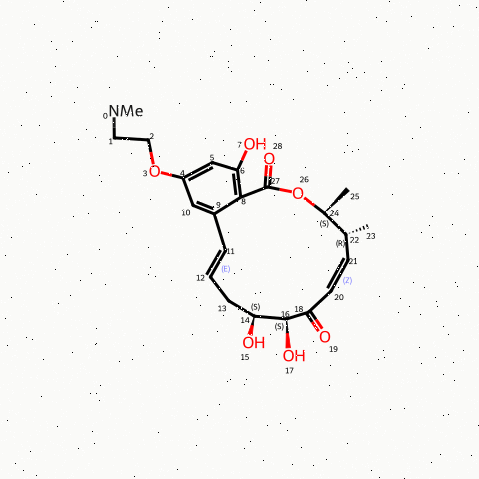 CNCCOc1cc(O)c2c(c1)/C=C/C[C@H](O)[C@H](O)C(=O)/C=C\[C@@H](C)[C@H](C)OC2=O